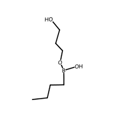 CCCCB(O)OCCCO